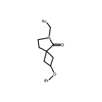 CC(=O)CN1CCC2(CC(OC(C)C)C2)C1=O